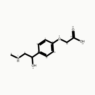 CNCC(O)c1ccc(OCC(=O)O)cc1